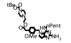 CCCCCNc1nc(N)nc2ccn(Cc3ccc(CC(=O)OCCN4CCN(C(=O)OC(C)(C)C)CC4)cc3OC)c12